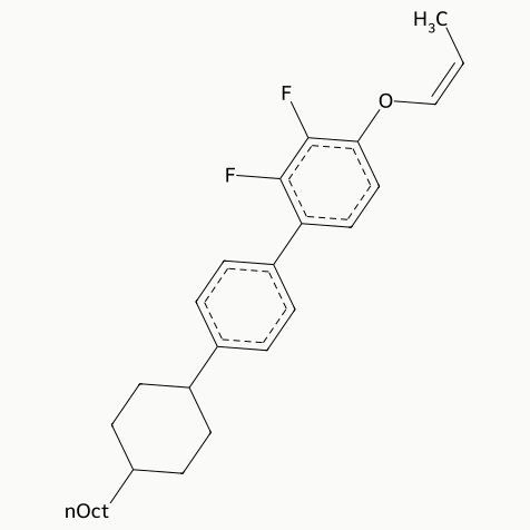 C/C=C\Oc1ccc(-c2ccc(C3CCC(CCCCCCCC)CC3)cc2)c(F)c1F